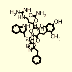 Cc1cc(O)cc(C)c1CC(NC(=O)C(CCNC(=N)N)OC(N)=O)C(=O)N[C@@H](Cc1c[nH]c2ccccc12)c1nc(Cc2ccccc2)no1